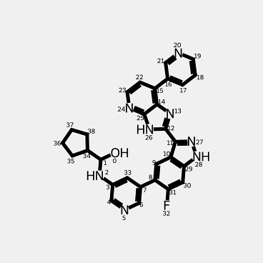 OC(Nc1cncc(-c2cc3c(-c4nc5c(-c6cccnc6)ccnc5[nH]4)n[nH]c3cc2F)c1)C1CCCC1